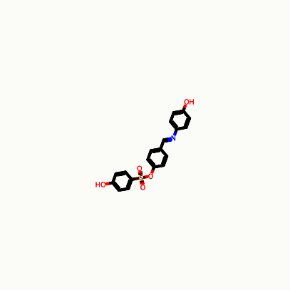 O=S(=O)(Oc1ccc(/C=N/c2ccc(O)cc2)cc1)c1ccc(O)cc1